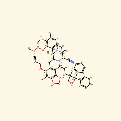 C=CCOc1c(C)c2c(c3c1CC1[C@H]4c5c(cc(C)c(OC)c5OCOC)C[C@H](C(C#N)N1[C@H]3CCC(C)(C)[Si](O)(c1ccccc1)c1ccccc1)N4C)OCO2